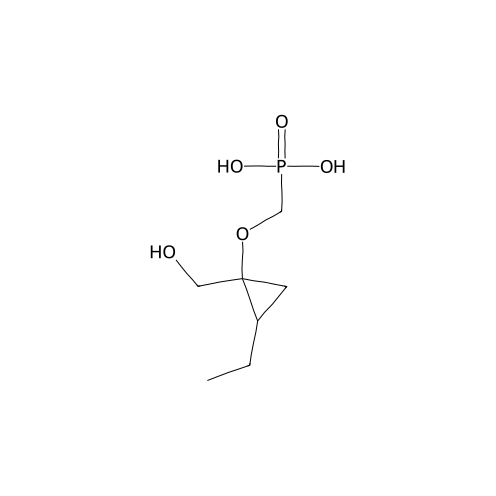 CCC1CC1(CO)OCP(=O)(O)O